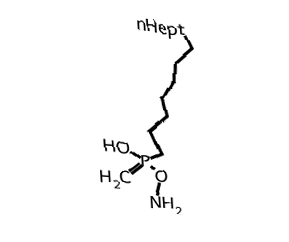 C=P(O)(CCCCCCCCCCCCCC)ON